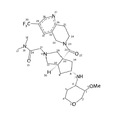 COC1COCCC1N[C@@H]1C[C@H]2CN(CC(=O)N(C)C)C[C@@]2(C(=O)N2CCc3ncc(C(F)(F)F)cc3C2)C1